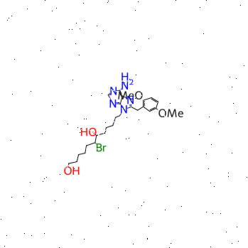 COc1ccc(OC)c(Cc2nc3c(N)ncnc3n2CCCCCC(O)C(Br)CCCCCO)c1